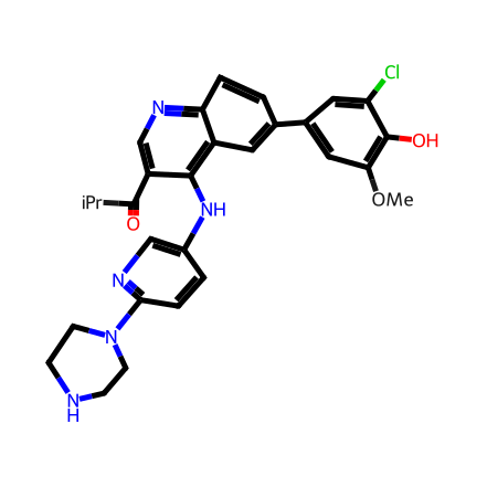 COc1cc(-c2ccc3ncc(C(=O)C(C)C)c(Nc4ccc(N5CCNCC5)nc4)c3c2)cc(Cl)c1O